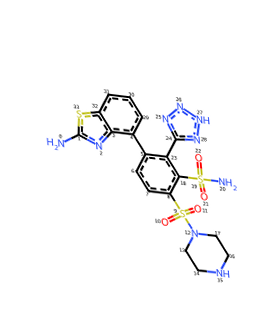 Nc1nc2c(-c3ccc(S(=O)(=O)N4CCNCC4)c(S(N)(=O)=O)c3-c3nn[nH]n3)cccc2s1